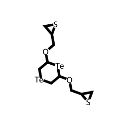 C(OC1C[Te]CC(OCC2CS2)[Te]1)C1CS1